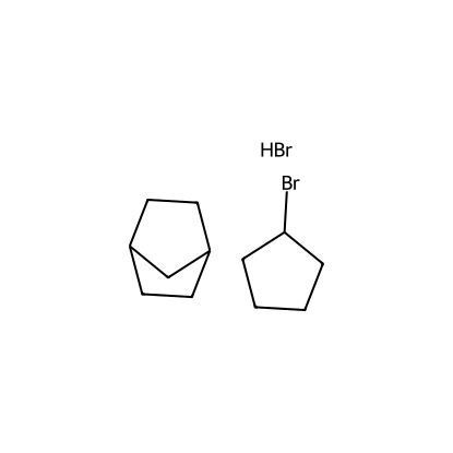 Br.BrC1CCCC1.C1CC2CCC1C2